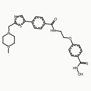 CN1CCN(Cc2ncc(-c3ccc(C(=O)NCCOc4ccc(C(=S)NO)cc4)cc3)s2)CC1